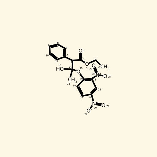 CCOC(=O)C(c1ccccc1)C(C)(O)Oc1ccc([N+](=O)[O-])cc1[N+](=O)[O-]